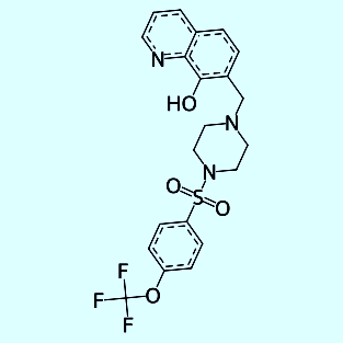 O=S(=O)(c1ccc(OC(F)(F)F)cc1)N1CCN(Cc2ccc3cccnc3c2O)CC1